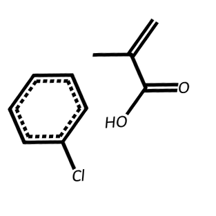 C=C(C)C(=O)O.Clc1ccccc1